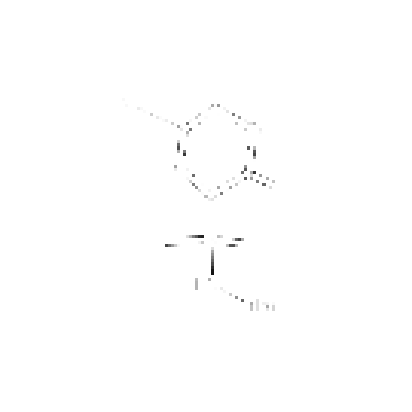 CC(C)(C)NS(=O)(=O)c1cc(Br)c[nH]c1=O